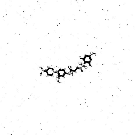 COc1cc(C)c(S(=O)(=O)N(C)CCC(=O)Nc2ccc(N3CCC(N(C)C)CC3)c(OC)c2)c(C)c1